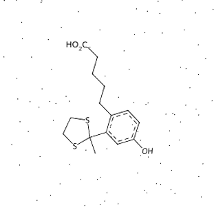 CC1(c2cc(O)ccc2CCCCC(=O)O)SCCS1